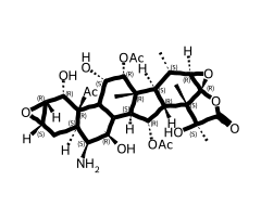 CC(=O)O[C@H]1[C@@H]2[C@H]([C@H](C)[C@H]3O[C@]34OC(=O)[C@@](C)(O)[C@]24C)[C@]2(C)[C@@H]1C1C([C@H](O)[C@@H]2OC(C)=O)[C@]2(C(C)=O)[C@H](C[C@@H]3O[C@@H]3[C@@H]2O)[C@H](N)[C@@H]1O